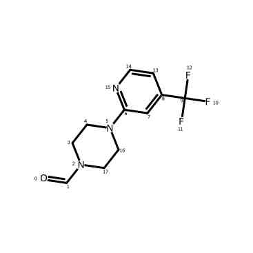 O=CN1CCN(c2cc(C(F)(F)F)ccn2)CC1